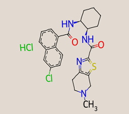 CN1CCc2nc(C(=O)N[C@@H]3CCCC[C@@H]3NC(=O)c3cccc4cc(Cl)ccc34)sc2C1.Cl